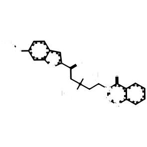 CCCCOc1ccc2cc(C(=O)CC(CCn3nnc4ccccc4c3=O)(C(=O)O)C(=O)O)oc2c1